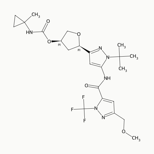 COCc1cc(C(=O)Nc2cc([C@H]3C[C@@H](OC(=O)NC4(C)CC4)CO3)nn2C(C)(C)C)n(C(F)(F)F)n1